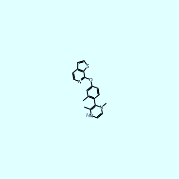 CC1=C(c2ccc(Oc3nccc4ccsc34)cc2C)N(C)C=CN1